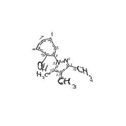 Cc1nn(-c2ccccc2O)c(C)c1C